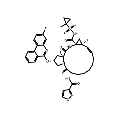 CC1(S(=O)(=O)NC(=O)[C@@]23C[C@H]2/C=C\CCCCC[C@H](NC(=O)c2ccon2)C(=O)N2C[C@H](Oc4nc5cc(F)ccc5c5ccccc45)C[C@H]2C(=O)N3)CC1